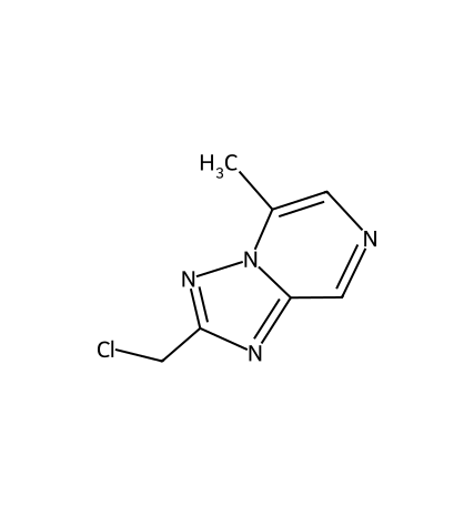 Cc1cncc2nc(CCl)nn12